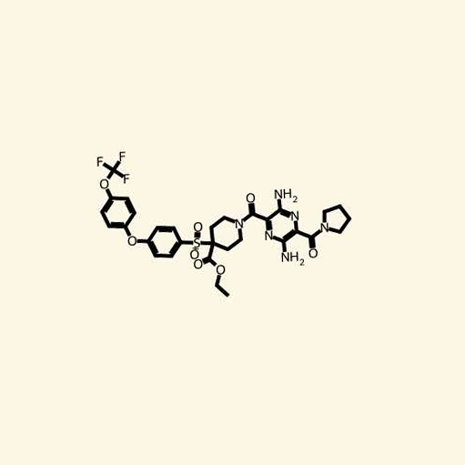 CCOC(=O)C1(S(=O)(=O)c2ccc(Oc3ccc(OC(F)(F)F)cc3)cc2)CCN(C(=O)c2nc(N)c(C(=O)N3CCCC3)nc2N)CC1